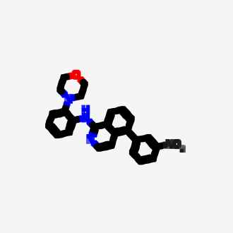 O=[N+]([O-])c1cccc(-c2cccc3c(Nc4ccccc4N4CCOCC4)nccc23)c1